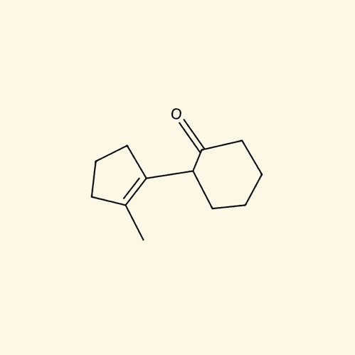 CC1=C(C2CCCCC2=O)CCC1